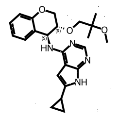 COC(C)(C)CO[C@H]1COc2ccccc2[C@@H]1Nc1ncnc2[nH]c(C3CC3)cc12